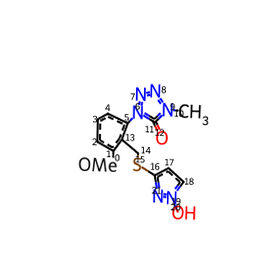 COc1cccc(-n2nnn(C)c2=O)c1CSc1ccn(O)n1